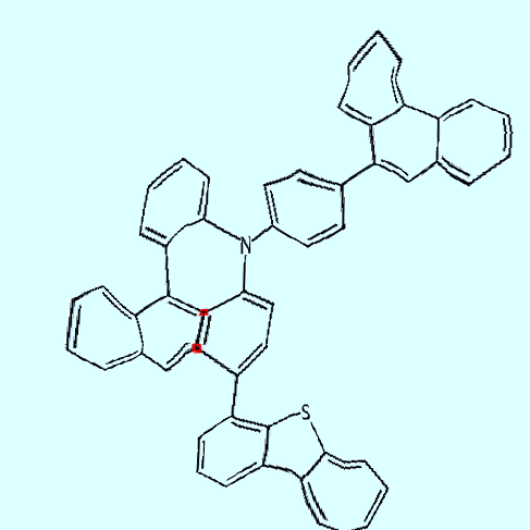 c1ccc(N(c2ccc(-c3cc4ccccc4c4ccccc34)cc2)c2ccc(-c3cccc4c3sc3ccccc34)cc2)c(-c2cccc3ccccc23)c1